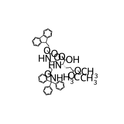 CC(C)(C)OC(=O)CC[C@H](NC(=O)[C@H](CCC(=O)NC(c1ccccc1)(c1ccccc1)c1ccccc1)NC(=O)OCC1c2ccccc2-c2ccccc21)C(=O)O